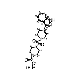 CC(C)(C)OC(=O)N1CCC(S(=O)(=O)N2CC=C(c3n[nH]c4ncccc34)CC2)CC1